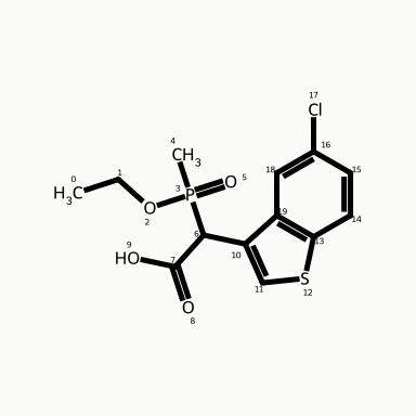 CCOP(C)(=O)C(C(=O)O)c1csc2ccc(Cl)cc12